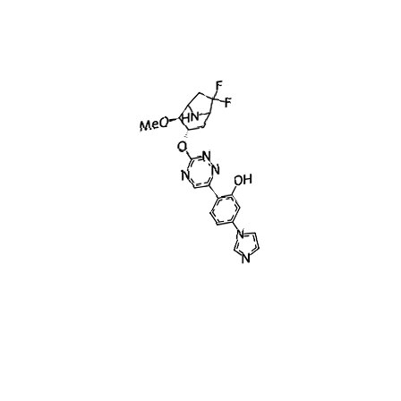 CO[C@H]1C2CC(F)(F)C(C[C@@H]1Oc1ncc(-c3ccc(-n4ccnc4)cc3O)nn1)N2